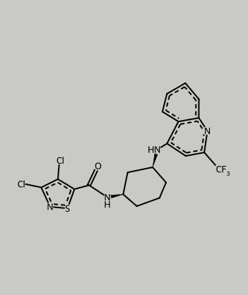 O=C(N[C@@H]1CCC[C@H](Nc2cc(C(F)(F)F)nc3ccccc23)C1)c1snc(Cl)c1Cl